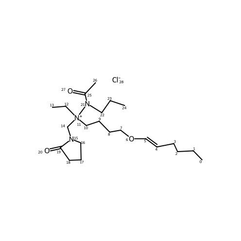 CCCCC=COCCCC[N+](CC)(CN1CCCC1=O)N(CCC)C(C)=O.[Cl-]